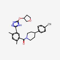 Cc1cc(C)c(-c2nnc(OC3CCOC3)[nH]2)cc1C(=O)N1CCC(c2ccc(C#N)cc2)CC1